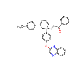 Cc1ccc(C2=CC=CC(C=CC(=O)c3ccccc3)(c3ccc(Oc4cnc5ccccc5n4)cc3)C2)cc1